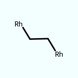 [Rh][CH2][CH2][Rh]